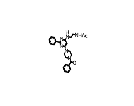 CC(=O)NCCNc1cc(N2CCN(C(=O)c3ccccc3)CC2)nc(-c2ccccc2)n1